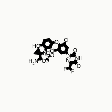 NC(=O)C1(N(c2cc(Oc3c(Cl)cc(-n4nc(C(F)F)c(=O)[nH]c4=O)cc3Cl)ccc2O)[SH](=O)=O)CC1